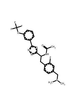 CC(=O)NC(Cc1ccc(CN(C)C)cc1F)c1nnc(-c2cccc(OC(F)(F)F)c2)s1